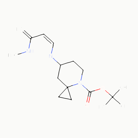 C=C(/C=C\NC1CCN(C(=O)OC(C)(C)C)C2(CC2)C1)NC